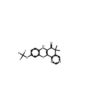 CC1(C)C(=O)C2=C(Sc3cc(OC(F)(F)F)ccc3N2)c2ncncc21